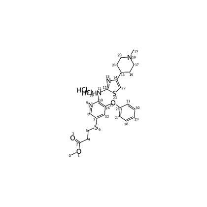 COC(=O)CCSc1cnc(Nc2nc(C3CCN(C)CC3)cs2)c(Oc2ccccc2)c1.Cl.Cl